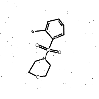 O=S(=O)(c1ccccc1Br)N1CCOCC1